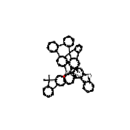 CC1(C)c2ccccc2-c2ccc(N(c3ccc4c(c3)C3(c5ccccc5-c5ccccc5-4)c4ccccc4-c4cc5oc6ccccc6c5cc43)c3ccc4oc5ccccc5c4c3)cc21